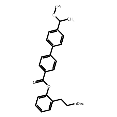 CCCCCCCCCCCCc1ccccc1OC(=O)c1ccc(-c2ccc(C(C)OCCC)cc2)cc1